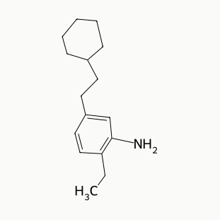 CCc1ccc(CCC2CCCCC2)cc1N